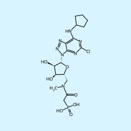 CN(C[C@H]1O[C@@H](n2nnc3c(NC4CCCC4)nc(Cl)nc32)[C@H](O)[C@@H]1O)C(=O)CP(=O)(O)O